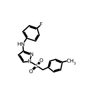 Cc1ccc(CS(=O)(=O)n2ccc(Nc3ccc(F)cc3)n2)cc1